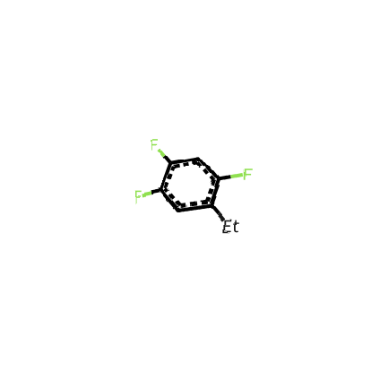 [CH2]Cc1cc(F)c(F)cc1F